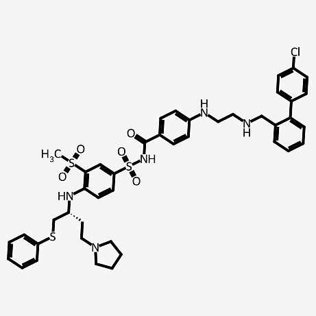 CS(=O)(=O)c1cc(S(=O)(=O)NC(=O)c2ccc(NCCNCc3ccccc3-c3ccc(Cl)cc3)cc2)ccc1N[C@H](CCN1CCCC1)CSc1ccccc1